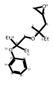 CCC(C)(CC1CO1)OCC(CC)(CC)Oc1ccccc1